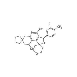 CC(C)c1nc2c(c3c1[C@@H](c1ccc(C(F)(F)F)c(F)c1)OC31CCOCC1)[C@@H](O)CC1(CCCC1)C2